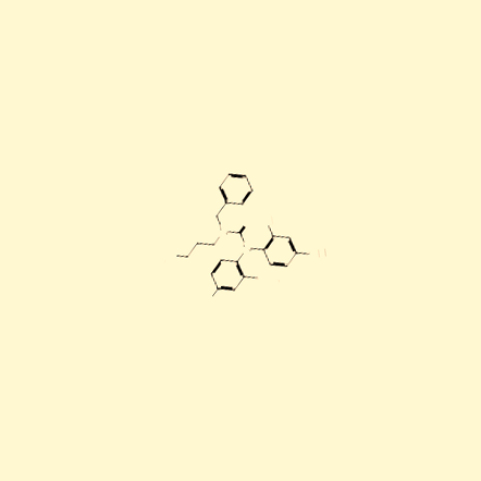 CCCCN(Cc1ccccc1)C(=O)N(c1ccc(C)cc1C)c1ccc(C)cc1C